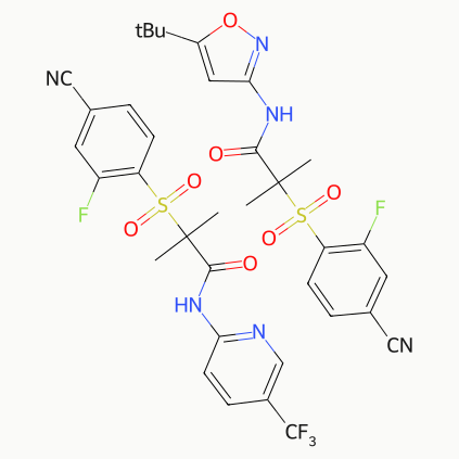 CC(C)(C(=O)Nc1ccc(C(F)(F)F)cn1)S(=O)(=O)c1ccc(C#N)cc1F.CC(C)(C)c1cc(NC(=O)C(C)(C)S(=O)(=O)c2ccc(C#N)cc2F)no1